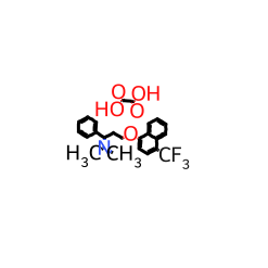 CN(C)C(CCOc1ccc(C(F)(F)F)c2ccccc12)c1ccccc1.O=C(O)C(=O)O